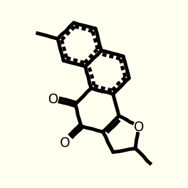 Cc1ccc2ccc3c(c2c1)C(=O)C(=O)C1=C3OC(C)C1